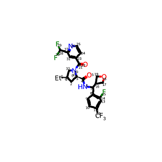 CC[C@@H]1C[C@H](C(=O)NC(c2ccc(C(F)(F)F)cc2F)C2COC2)N(C(=O)c2ccnc(C(F)F)c2)C1